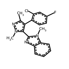 Cc1nn(C)c(-c2nc3ccccc3n2C)c1-c1ccc(F)cc1Cl